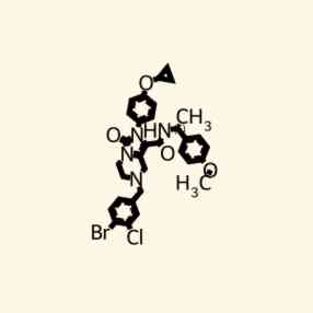 COc1ccc([C@H](C)NC(=O)c2c3n(c(=O)n2-c2ccc(OC4CC4)cc2)CCN(Cc2ccc(Br)c(Cl)c2)C3)cc1